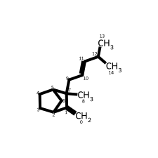 C=C1C2CCC(C2)C1(C)CC=CC(C)C